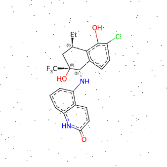 CC[C@@H]1C[C@](O)(C(F)(F)F)[C@@H](Nc2cccc3[nH]c(=O)ccc23)c2ccc(Cl)c(O)c21